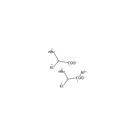 CCCCC(CC)C(=O)[O-].CCCCC(CC)C(=O)[O-].[Al+2]